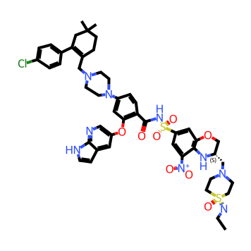 CCN=S1(=O)CCN(C[C@H]2COc3cc(S(=O)(=O)NC(=O)c4ccc(N5CCN(CC6=C(c7ccc(Cl)cc7)CC(C)(C)CC6)CC5)cc4Oc4cnc5[nH]ccc5c4)cc([N+](=O)[O-])c3N2)CC1